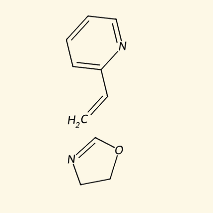 C1=NCCO1.C=Cc1ccccn1